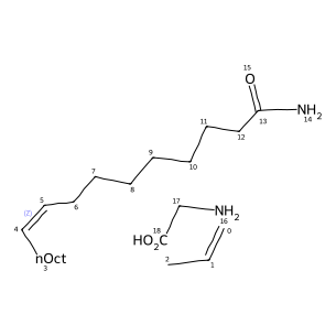 C=CC.CCCCCCCC/C=C\CCCCCCCC(N)=O.NCC(=O)O